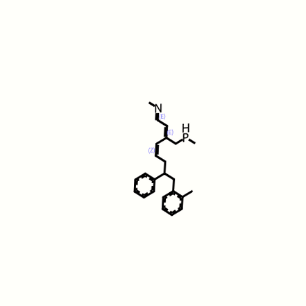 C/N=C/C=C(\C=C/CC(Cc1ccccc1C)c1ccccc1)CPC